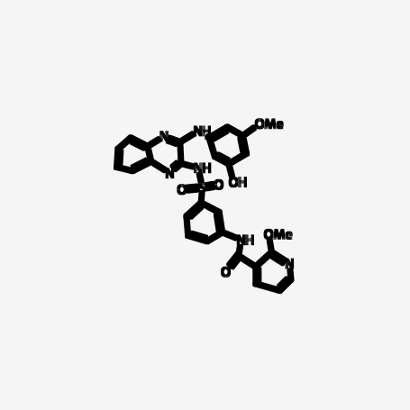 COc1cc(O)cc(Nc2nc3ccccc3nc2NS(=O)(=O)c2cccc(NC(=O)c3cccnc3OC)c2)c1